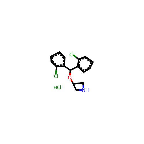 Cl.Clc1ccccc1C(OC1CNC1)c1ccccc1Cl